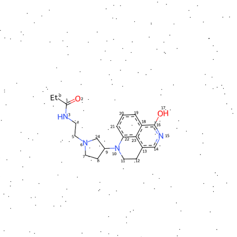 CCC(=O)NCCN1CCC(N2CCc3cnc(O)c4cccc2c34)C1